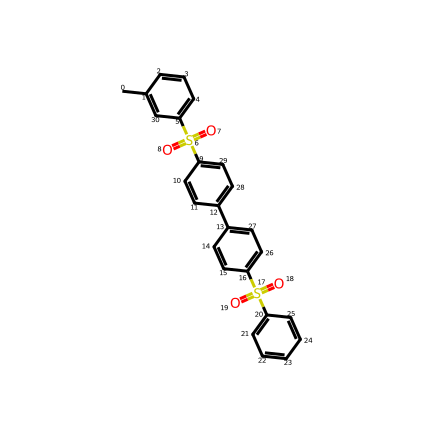 Cc1cccc(S(=O)(=O)c2ccc(-c3ccc(S(=O)(=O)c4ccccc4)cc3)cc2)c1